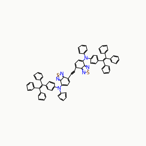 C(#Cc1ccc(N(c2ccccc2)c2ccc(C(=C(c3ccccc3)c3ccccc3)c3ccccc3)cc2)c2nsnc12)c1ccc(N(c2ccccc2)c2ccc(C(=C(c3ccccc3)c3ccccc3)c3ccccc3)cc2)c2nsnc12